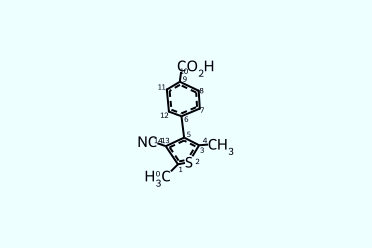 Cc1sc(C)c(-c2ccc(C(=O)O)cc2)c1C#N